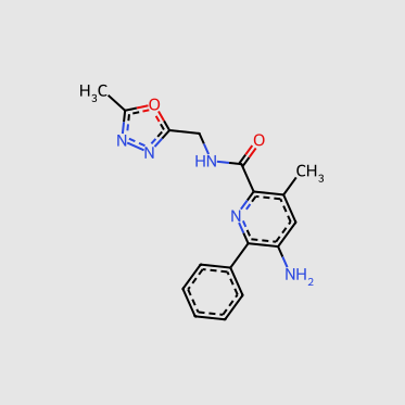 Cc1nnc(CNC(=O)c2nc(-c3ccccc3)c(N)cc2C)o1